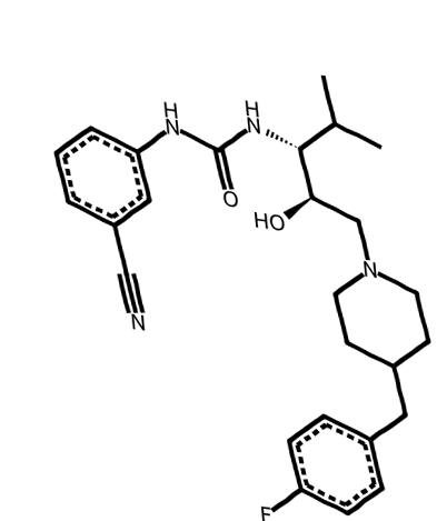 CC(C)[C@@H](NC(=O)Nc1cccc(C#N)c1)[C@H](O)CN1CCC(Cc2ccc(F)cc2)CC1